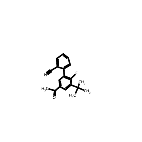 CC(=O)c1cc(-c2ccccc2C#N)c(F)c(C(C)(C)C)c1